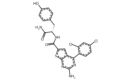 NC(=O)[C@H](Cc1ccc(O)cc1)NC(=O)c1cc2c(-c3ccc(Cl)cc3Cl)nc(N)nc2s1